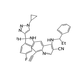 [2H]C(Nc1cc(C#C)c2ncc(C#N)c(NC(CC)c3ccccc3)c2c1)(c1ccc(F)cc1)c1cn(C2CC2)nn1